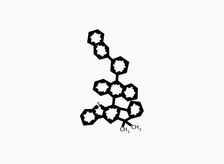 CC1(C)c2ccccc2-c2c1cc1c(sc3ccccc31)c2-c1c2ccccc2c(-c2cccc(-c3ccc4ccccc4c3)c2)c2ccccc12